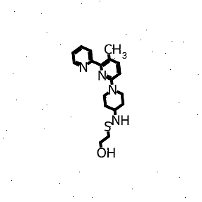 Cc1ccc(N2CCC(NSCCO)CC2)nc1-c1ccccn1